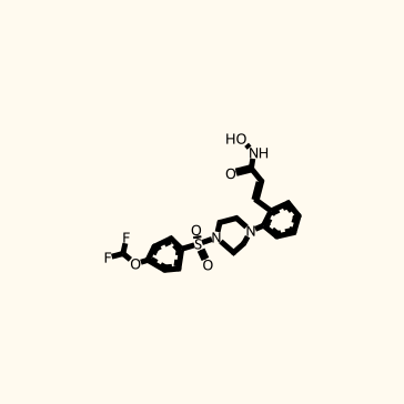 O=C(/C=C/c1ccccc1N1CCN(S(=O)(=O)c2ccc(OC(F)F)cc2)CC1)NO